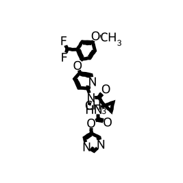 COc1ccc(Oc2ccc(N(C)C(=O)C3(NC(=O)Oc4cncnc4)CC3)nc2)c(C(F)F)c1